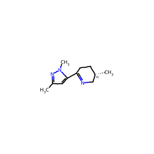 Cc1cc(C2=NC[C@@H](C)CC2)n(C)n1